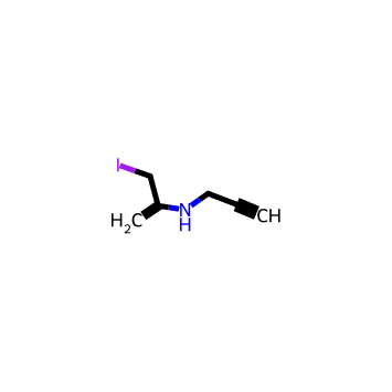 C#CCNC(=C)CI